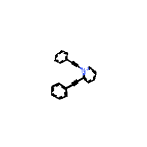 C(#Cc1cccc[n+]1C#Cc1ccccc1)c1ccccc1